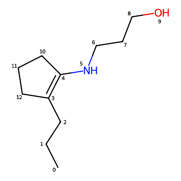 CCCC1=C(NCCCO)CCC1